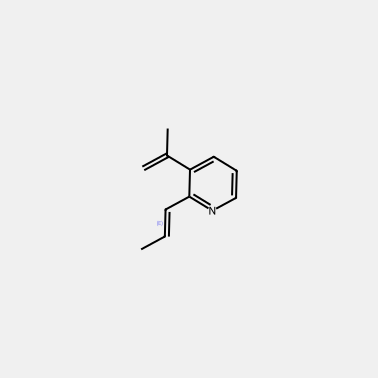 C=C(C)c1cccnc1/C=C/C